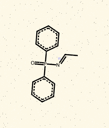 C/C=N/P(=O)(c1ccccc1)c1ccccc1